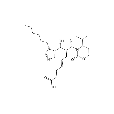 CCCCCCn1cncc1[C@@H](O)[C@H](CC=CCCC(=O)O)C(=O)N1C(=O)OCCC1C(C)C